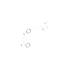 CC(C)[C@H](C(N)=O)C(CCCCOc1ccc(C(=O)N2CCC(N3C(=O)CCc4ccccc43)CC2)cc1)C(N)=O